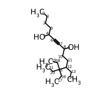 CCCCC(O)C#CC(O)CCC(CC)C(CC)(CC)CC